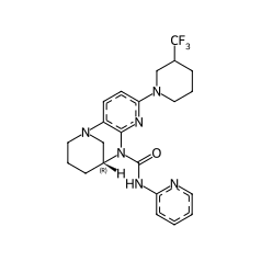 O=C(Nc1ccccn1)N1c2nc(N3CCCC(C(F)(F)F)C3)ccc2N2CCC[C@@H]1C2